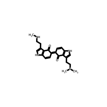 CNCCc1c[nH]c2c1C(=O)C(=C1C=Cc3[nH]cc(CCN(C)C)c3C1=O)C=C2